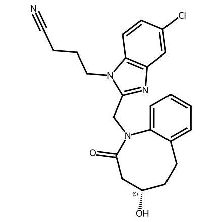 N#CCCCn1c(CN2C(=O)C[C@@H](O)CCc3ccccc32)nc2cc(Cl)ccc21